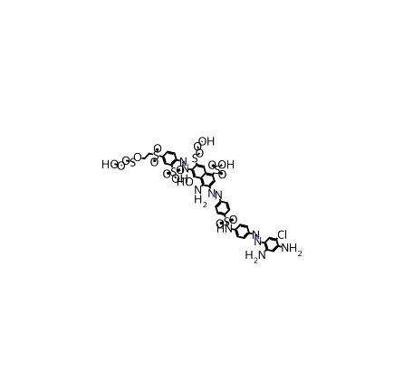 Nc1cc(N)c(/N=N/c2ccc(NS(=O)(=O)c3ccc(/N=N/c4cc(S(=O)(=O)O)c5cc(SOOO)c(/N=N/c6ccc(S(=O)(=O)CCOSOOO)cc6S(=O)(=O)O)c(O)c5c4N)cc3)cc2)cc1Cl